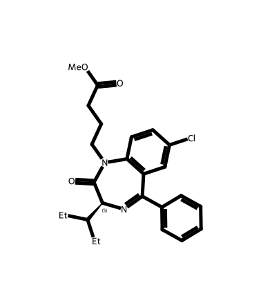 CCC(CC)[C@@H]1N=C(c2ccccc2)c2cc(Cl)ccc2N(CCCC(=O)OC)C1=O